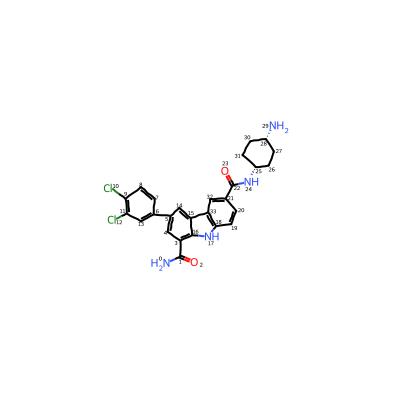 NC(=O)c1cc(-c2ccc(Cl)c(Cl)c2)cc2c1[nH]c1ccc(C(=O)N[C@H]3CC[C@@H](N)CC3)cc12